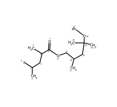 CC(I)CC(C)C(=O)OCC(C)CC(C)(C)OC(C)C